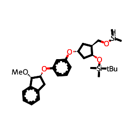 CO[C@H]1c2ccccc2C[C@H]1Oc1cccc(O[C@@H]2C[C@@H](CO[SiH](C)C)[C@@H](O[Si](C)(C)C(C)(C)C)C2)c1